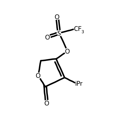 CC(C)C1=C(OS(=O)(=O)C(F)(F)F)COC1=O